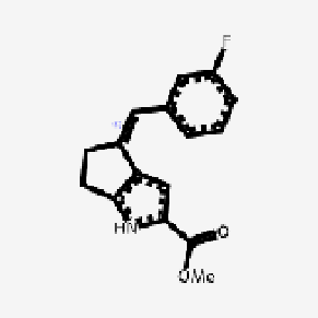 COC(=O)c1cc2c([nH]1)CC/C2=C/c1cccc(F)c1